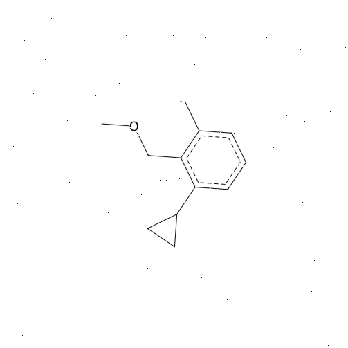 [CH2]c1cccc(C2CC2)c1COC